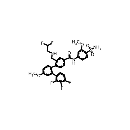 COc1ccc(-c2ccc(C(=O)Nc3ccc(S(N)(=O)=O)c(OC)c3)cc2CNCC(F)F)c(-c2ccc(F)c(F)c2F)c1